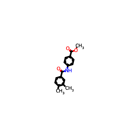 COC(=O)c1ccc(NC(=O)c2ccc(C)c(C)c2)cc1